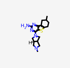 CC1CCc2sc3c(N4CC5CN(C)C[C@H]5C4)nc(N)nc3c2C1